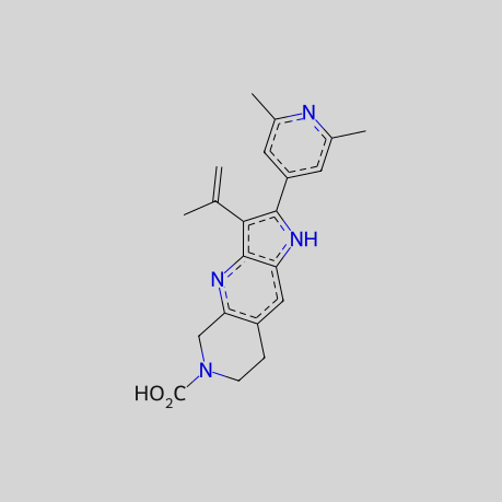 C=C(C)c1c(-c2cc(C)nc(C)c2)[nH]c2cc3c(nc12)CN(C(=O)O)CC3